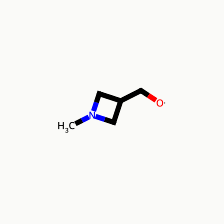 CN1CC(C[O])C1